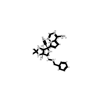 CC1(C)O[C@@H]2[C@@H](COCc3ccccc3)O[C@@](C#N)(c3ccc4c(N)ncnn34)[C@]2(C)O1